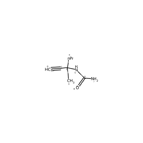 C#CC(C)(CCC)NC(N)=O